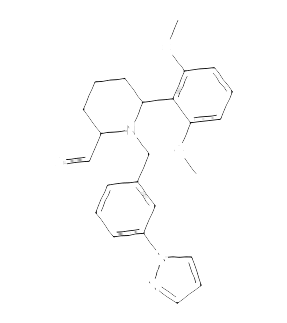 COc1cccc(OC)c1C1CCCC(C=O)N1Cc1cccc(-n2cccn2)c1